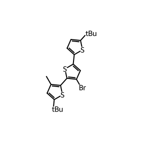 Cc1cc(C(C)(C)C)sc1-c1sc(-c2ccc(C(C)(C)C)s2)cc1Br